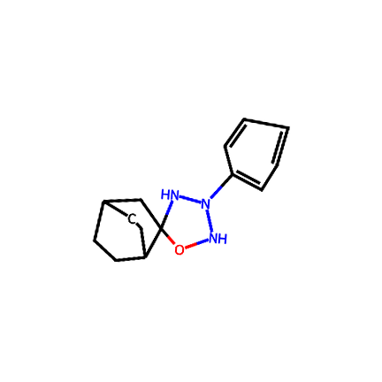 c1ccc(N2NOC3(CC4CCC3CC4)N2)cc1